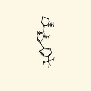 FC(F)(F)c1ccc(-c2cnc(C3CCCN3)[nH]2)cc1